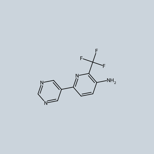 Nc1ccc(-c2cncnc2)nc1C(F)(F)F